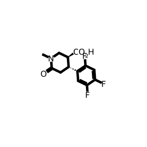 CN1C[C@@H](C(=O)O)[C@H](c2cc(F)c(F)cc2F)CC1=O